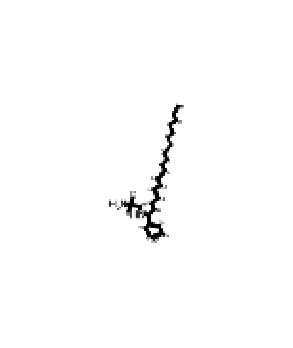 CCCCCCCCCCCCCCCCCC(NCC(C)(C)N)c1ccccc1